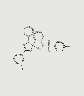 Cc1ccc(S(=O)(=O)Nc2ccccc2C2(C(F)(F)F)OC(c3cccc(Cl)c3)=NN2c2ccccc2)cc1